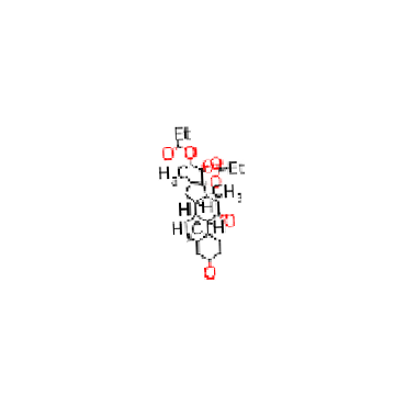 CCC(=O)OCC(=O)[C@]1(OC(=O)CC)[C@H](C)C[C@H]2[C@@H]3C=CC4=CC(=O)CC[C@]4(C)[C@H]3C(=O)C[C@@]21C